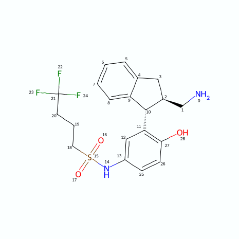 NC[C@@H]1Cc2ccccc2[C@H]1c1cc(NS(=O)(=O)CCCC(F)(F)F)ccc1O